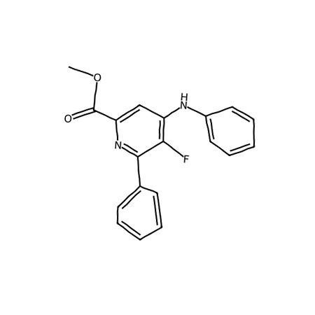 COC(=O)c1cc(Nc2ccccc2)c(F)c(-c2ccccc2)n1